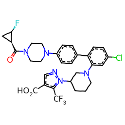 O=C(O)c1cnn(C2CCCN(c3cc(Cl)ccc3-c3ccc(N4CCN(C(=O)[C@H]5C[C@H]5F)CC4)cc3)C2)c1C(F)(F)F